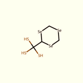 SC(S)(S)C1[Se]C[Se]C[Se]1